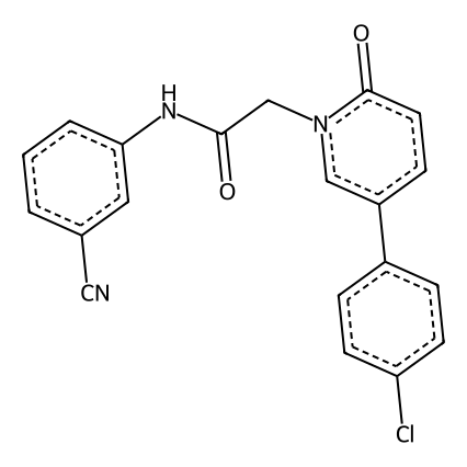 N#Cc1cccc(NC(=O)Cn2cc(-c3ccc(Cl)cc3)ccc2=O)c1